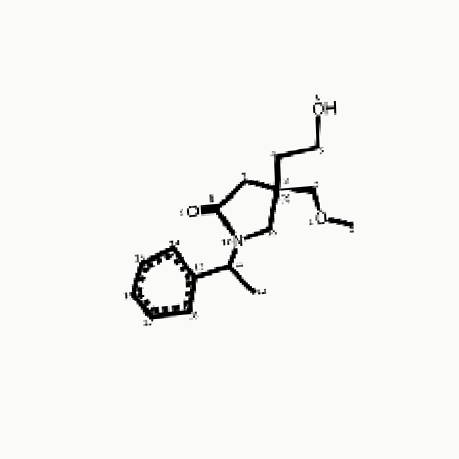 COC[C@]1(CCO)CC(=O)N(C(C)c2ccccc2)C1